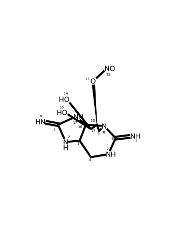 N=C1NC2CNC(=N)N3C[C@H](ON=O)C(O)(O)C23N1